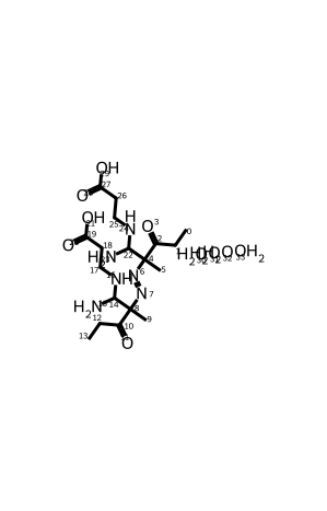 CCC(=O)C(C)(N=NC(C)(C(=O)CC)C(N)NCCC(=O)O)C(N)NCCC(=O)O.O.O.O.O